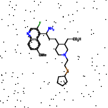 COc1ccc2ncc(F)c(C(N)CCC3CCN(CCSC4CCCC4)CC3CC(=O)O)c2c1